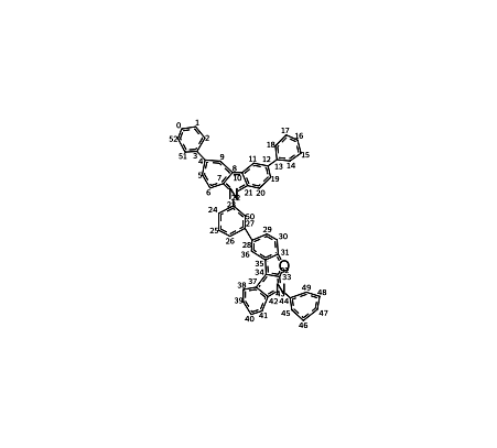 c1ccc(-c2ccc3c(c2)c2cc(-c4ccccc4)ccc2n3-c2cccc(-c3ccc4oc5c(c4c3)c3ccccc3n5-c3ccccc3)c2)cc1